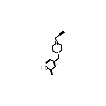 C#CCN1CCN(C/C(C=C)=C/C(=C)O)CC1